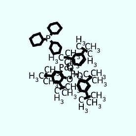 C1CCC(P(C2CCCCC2)C2CCCCC2)CC1.CC(C)(C)c1ccc(OP(Oc2ccc(C(C)(C)C)cc2C(C)(C)C)Oc2[c]([Pd][Cl])cc(C(C)(C)C)cc2C(C)(C)C)c(C(C)(C)C)c1